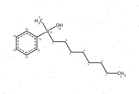 CCCCCCCC[Si](C)(O)c1ccccc1